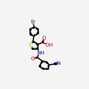 N#Cc1cccc(C(=O)Nc2csc(-c3ccc(Br)cc3)c2C(=O)O)c1